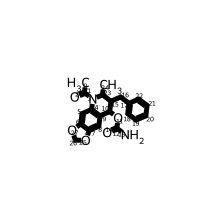 CC(=O)N1c2cc3c(cc2C(OC(N)=O)C(Cc2ccccc2)C1C)OCO3